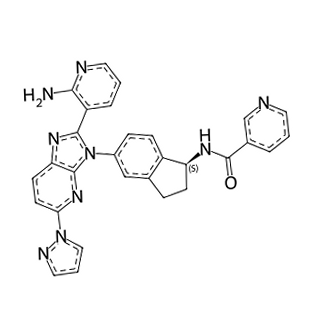 Nc1ncccc1-c1nc2ccc(-n3cccn3)nc2n1-c1ccc2c(c1)CC[C@@H]2NC(=O)c1cccnc1